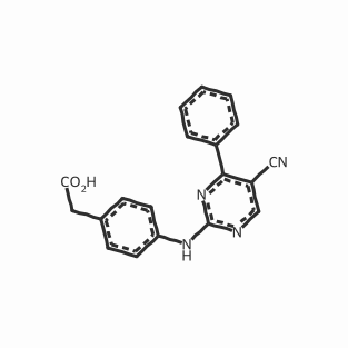 N#Cc1cnc(Nc2ccc(CC(=O)O)cc2)nc1-c1ccccc1